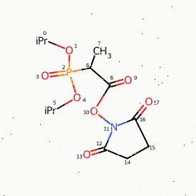 CC(C)OP(=O)(OC(C)C)C(C)C(=O)ON1C(=O)CCC1=O